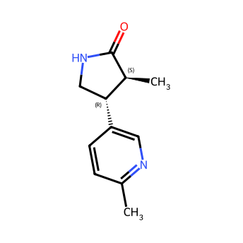 Cc1ccc([C@@H]2CNC(=O)[C@H]2C)cn1